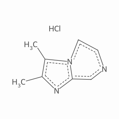 Cc1nc2cnccn2c1C.Cl